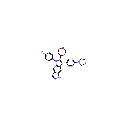 Fc1ccc(-n2c(C3CCOCC3)c(-c3ccc(N4CCCC4)nc3)c3cc4[nH]ncc4cc32)cc1